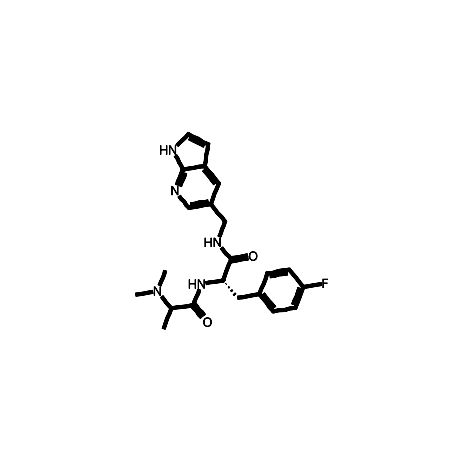 CC(C(=O)N[C@@H](Cc1ccc(F)cc1)C(=O)NCc1cnc2[nH]ccc2c1)N(C)C